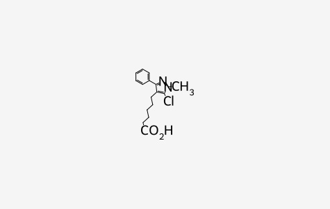 Cn1nc(-c2ccccc2)c(CCCCCC(=O)O)c1Cl